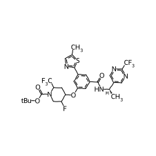 Cc1cnc(-c2cc(OC3CC(C(F)(F)F)N(C(=O)OC(C)(C)C)CC3F)cc(C(=O)N[C@H](C)c3cnc(C(F)(F)F)nc3)c2)s1